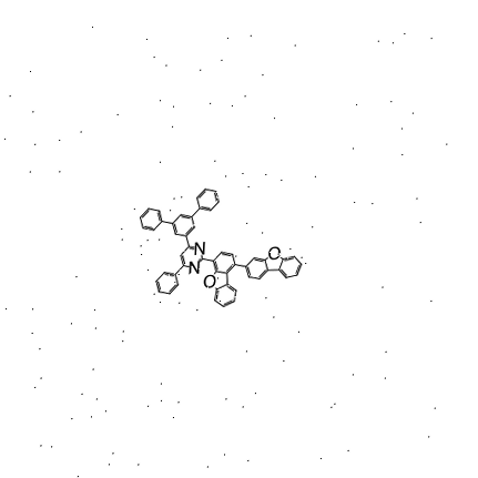 c1ccc(-c2cc(-c3ccccc3)cc(-c3cc(-c4ccccc4)nc(-c4ccc(-c5ccc6c(c5)oc5ccccc56)c5c4oc4ccccc45)n3)c2)cc1